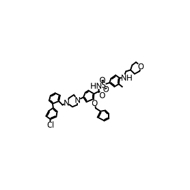 Cc1cc(S(=O)(=O)NC(=O)c2ccc(N3CCN(Cc4ccccc4-c4ccc(Cl)cc4)CC3)cc2OCc2ccccc2)ccc1NCC1CCOCC1